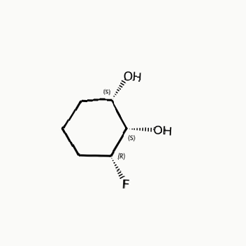 O[C@@H]1[C@H](F)CCC[C@@H]1O